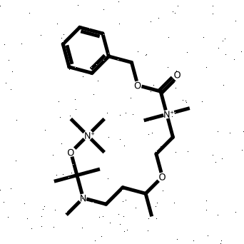 CC(CCN(C)C(C)(C)O[N+](C)(C)C)OCC[N+](C)(C)C(=O)OCc1ccccc1